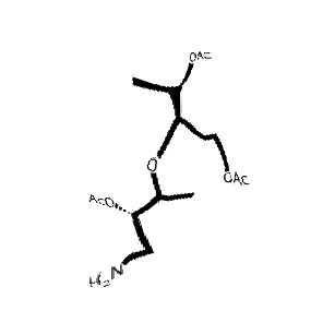 CC(=O)OCC(OC(C)[C@H](CN)OC(C)=O)[C@@H](C)OC(C)=O